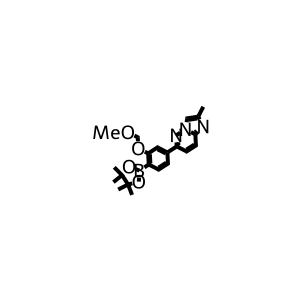 COCOc1cc(-c2ccc3nc(C)cn3n2)ccc1B1OC(C)(C)C(C)(C)O1